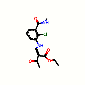 CCOC(=O)C(=CNc1cccc(C(=O)NC)c1Cl)C(C)=O